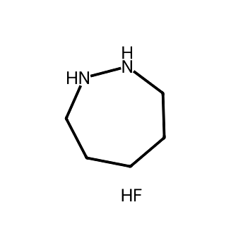 C1CCNNCC1.F